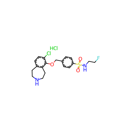 Cl.O=S(=O)(NCCF)c1ccc(COc2c(Cl)ccc3c2CCNCC3)cc1